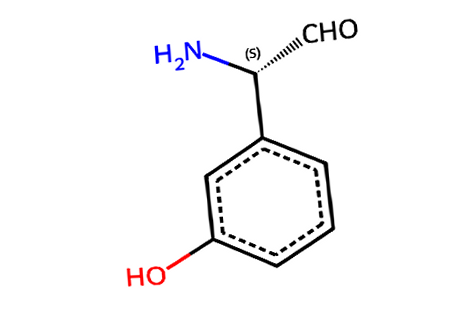 N[C@H](C=O)c1cccc(O)c1